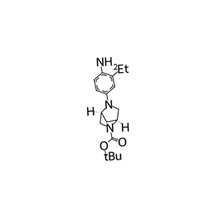 CCc1cc(N2C[C@@H]3C[C@H]2CN3C(=O)OC(C)(C)C)ccc1N